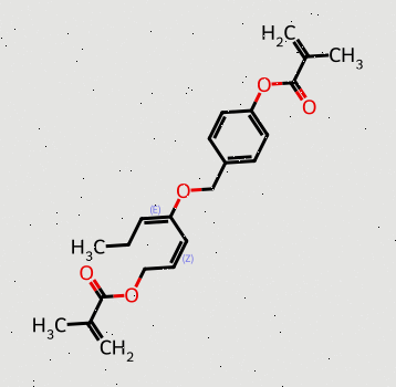 C=C(C)C(=O)OC/C=C\C(=C/CC)OCc1ccc(OC(=O)C(=C)C)cc1